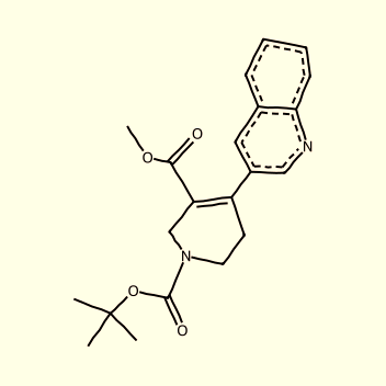 COC(=O)C1=C(c2cnc3ccccc3c2)CCN(C(=O)OC(C)(C)C)C1